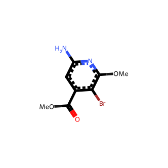 COC(=O)c1cc(N)nc(OC)c1Br